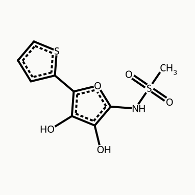 CS(=O)(=O)Nc1oc(-c2cccs2)c(O)c1O